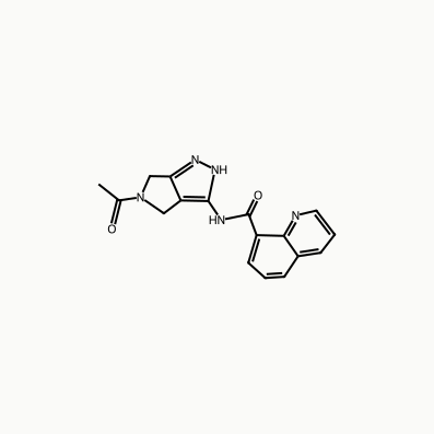 CC(=O)N1Cc2n[nH]c(NC(=O)c3cccc4cccnc34)c2C1